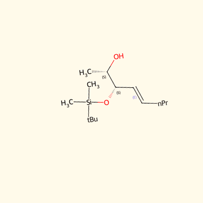 CCC/C=C/[C@H](O[Si](C)(C)C(C)(C)C)[C@H](C)O